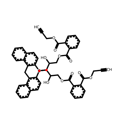 C#CCOC(=O)c1ccccc1C(=O)OCC(O)COc1ccc2ccccc2c1Cc1c(OCC(O)COC(=O)c2ccccc2C(=O)OCC#C)ccc2ccccc12